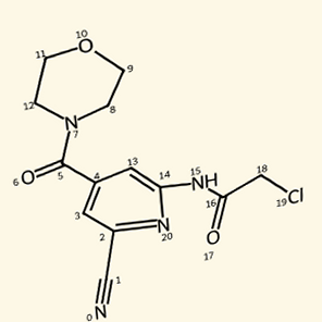 N#Cc1cc(C(=O)N2CCOCC2)cc(NC(=O)CCl)n1